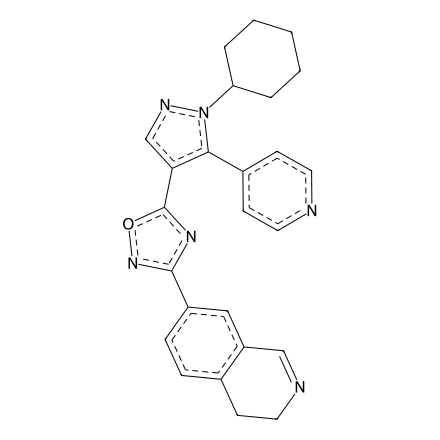 C1=NCCc2ccc(-c3noc(-c4cnn(C5CCCCC5)c4-c4ccncc4)n3)cc21